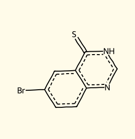 S=c1[nH]cnc2ccc(Br)cc12